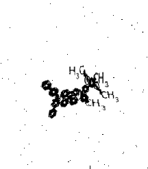 CCCCOc1cc(-c2ccc3c(c2)c2cc(C)ccc2n3-c2ccc3c(c2)C(c2ccccc2)(c2ccccc2)c2cc(N(c4ccc(-c5ccccc5)cc4)c4ccc(-c5ccccc5)cc4)ccc2-3)c(OCCCC)cc1C